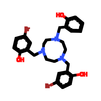 Oc1ccccc1CN1CCN(Cc2cc(Br)ccc2O)CCN(Cc2cc(Br)ccc2O)CC1